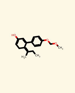 CCC(C)=C1CC=C(O)C=C1c1ccc(OCOC)cc1